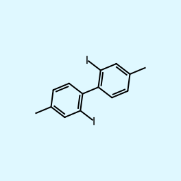 Cc1ccc(-c2ccc(C)cc2I)c(I)c1